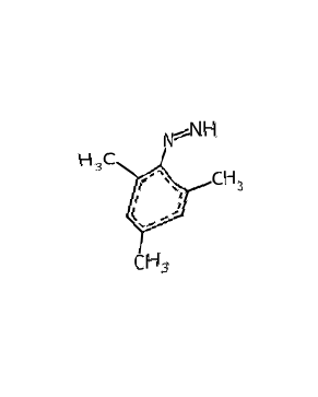 Cc1cc(C)c(N=N)c(C)c1